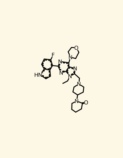 CCn1c(CN2CCC(N3CCCCC3=O)CC2)nc2c(N3CCOCC3)nc(-c3c(F)ccc4[nH]ccc34)nc21